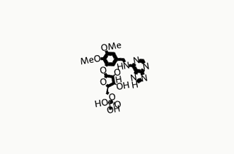 COc1cc(CNc2ncnc3nc[nH]c23)cc(OC2O[C@H](COP(=O)(O)O)[C@@H](O)[C@H]2O)c1OC